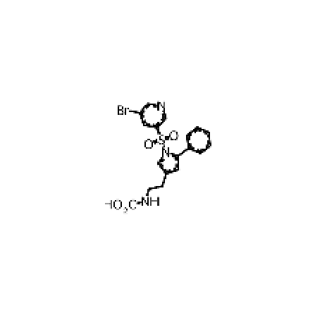 O=C(O)NCCc1cc(-c2ccccc2)n(S(=O)(=O)c2cncc(Br)c2)c1